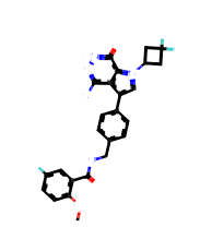 COc1ccc(F)cc1C(=O)NCc1ccc(-c2cn(C3CC(F)(F)C3)c3c(=O)[nH]nc(N)c23)cc1